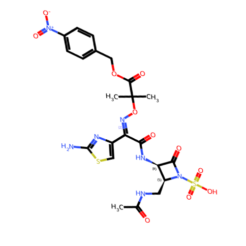 CC(=O)NC[C@H]1[C@@H](NC(=O)/C(=N\OC(C)(C)C(=O)OCc2ccc([N+](=O)[O-])cc2)c2csc(N)n2)C(=O)N1S(=O)(=O)O